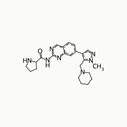 Cn1ncc(-c2ccc3cnc(NC(=O)C4CCCN4)nc3c2)c1CN1CCCCC1